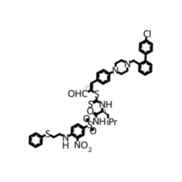 CC(C)C[C@H](NC(=S)S/C(C=O)=C\c1ccc(N2CCN(Cc3ccccc3-c3ccc(Cl)cc3)CC2)cc1)C(=O)NS(=O)(=O)c1ccc(NCCSc2ccccc2)c([N+](=O)[O-])c1